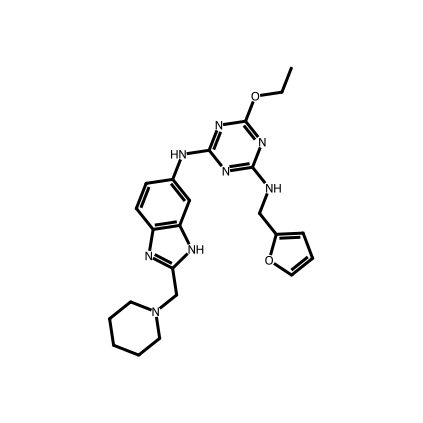 CCOc1nc(NCc2ccco2)nc(Nc2ccc3nc(CN4CCCCC4)[nH]c3c2)n1